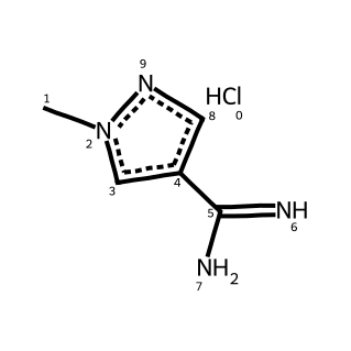 Cl.Cn1cc(C(=N)N)cn1